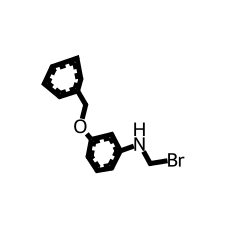 BrCNc1cccc(OCc2ccccc2)c1